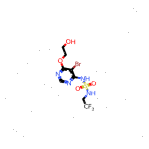 O=S(=O)(NCC(F)(F)F)Nc1ncnc(OCCO)c1Br